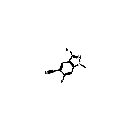 Cn1nc(Br)c2cc(C#N)c(F)cc21